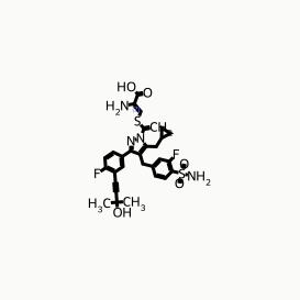 C=C(S/C=C(\N)C(=O)O)n1nc(-c2ccc(F)c(C#CC(C)(C)O)c2)c(Cc2ccc(S(N)(=O)=O)c(F)c2)c1CC1CC1